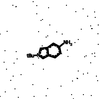 CC(C)(C)n1cc2ccc(N)cc2c1